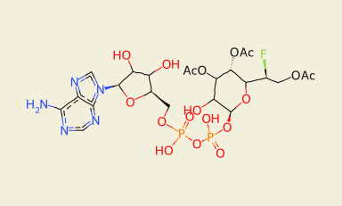 CC(=O)OC[C@H](F)C1O[C@@H](OP(=O)(O)OP(=O)(O)OC[C@H]2O[C@@H](n3cnc4c(N)ncnc43)C(O)C2O)C(O)C(OC(C)=O)[C@@H]1OC(C)=O